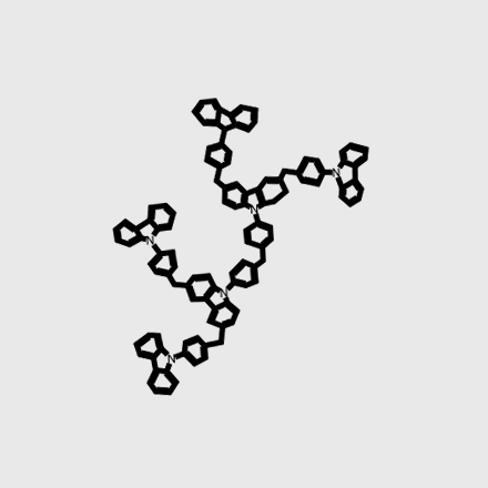 C1=C(Cc2ccc(-n3c4ccccc4c4ccccc43)cc2)CCc2c1c1cc(Cc3ccc(C4c5ccccc5-c5ccccc54)cc3)ccc1n2-c1ccc(Cc2ccc(-n3c4ccc(Cc5ccc(-n6c7ccccc7c7ccccc76)cc5)cc4c4cc(Cc5ccc(-n6c7ccccc7c7ccccc76)cc5)ccc43)cc2)cc1